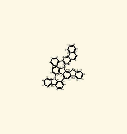 c1ccc(-c2nc3c(ccc4ccccc43)nc2-n2c3cccc4c3c3c(cc5c6ccccc6sc5c32)c2cccc3c5ccccc5n4c23)cc1